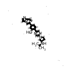 CC(C)NC1CCN(c2ncc(-c3ccc(-c4cn5ccnc5cn4)cc3O)nn2)C1